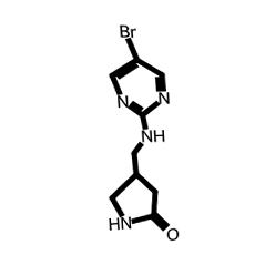 O=C1CC(CNc2ncc(Br)cn2)CN1